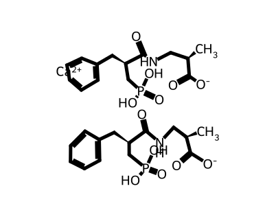 C[C@H](CNC(=O)[C@H](Cc1ccccc1)CP(=O)(O)O)C(=O)[O-].C[C@H](CNC(=O)[C@H](Cc1ccccc1)CP(=O)(O)O)C(=O)[O-].[Ca+2]